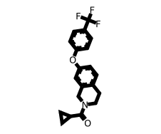 O=C(C1CC1)N1CCc2ccc(Oc3ccc(C(F)(F)F)cc3)cc2C1